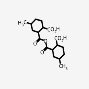 CC1CCC(C(=O)O)C(C(=O)OC(=O)C2CC(C)CCC2C(=O)O)C1